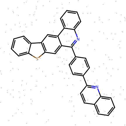 c1ccc2nc(-c3ccc(-c4nc5ccccc5c5cc6c(cc45)sc4ccccc46)cc3)ccc2c1